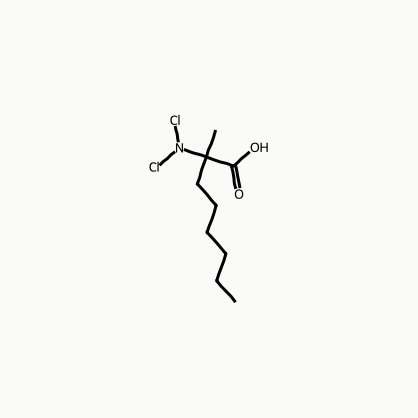 CCCCCCC(C)(C(=O)O)N(Cl)Cl